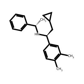 Cc1ccc([C@H](CC2CC2)N[C@@H](C)c2ccccc2)cc1C